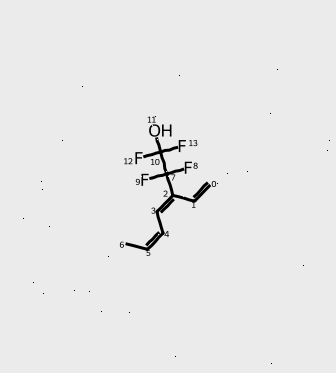 C=C/C(=C\C=C/C)C(F)(F)C(O)(F)F